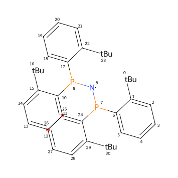 CC(C)(C)c1ccccc1P([N]P(c1ccccc1C(C)(C)C)c1ccccc1C(C)(C)C)c1ccccc1C(C)(C)C